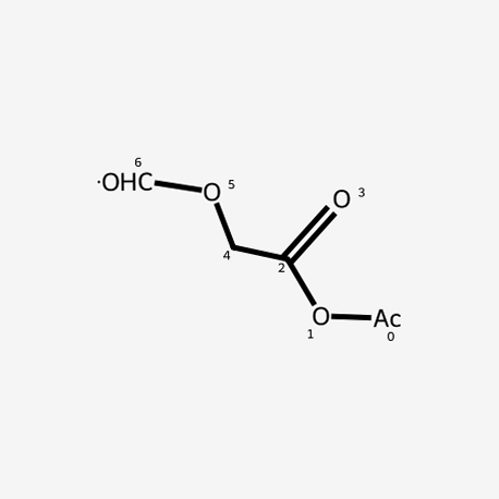 CC(=O)OC(=O)CO[C]=O